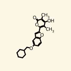 Cc1c(-c2cc3cc(OCC4CCCCC4)ccc3o2)oc(=O)c(C)c1O